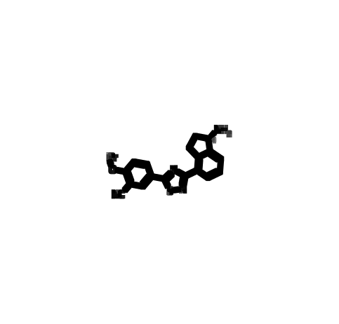 CC(C)Oc1ccc(-c2nc(-c3cccc4c3CC[C@H]4N)ns2)cc1C#N